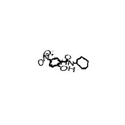 O=C(NC1CCCCC1)c1cc([N+](=O)[O-])ccc1O